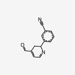 N#Cc1cccc(C2CC(C=O)=CC=N2)c1